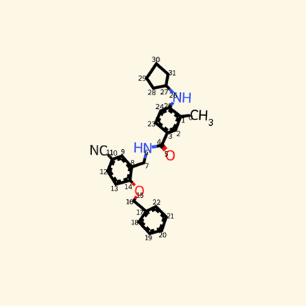 Cc1cc(C(=O)NCc2cc(C#N)ccc2OCc2ccccc2)ccc1NC1CCCC1